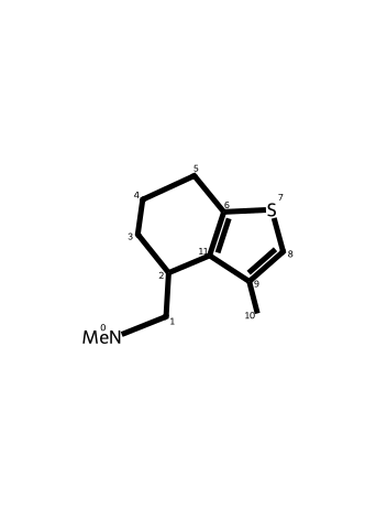 CNCC1CCCc2scc(C)c21